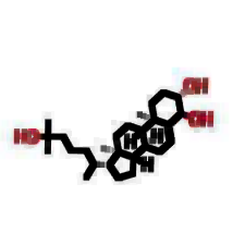 CC(CCCC(C)(C)O)[C@H]1CC[C@H]2[C@@H]3CC=C4[C@H](O)[C@@H](O)CC[C@]4(C)[C@H]3CC[C@]12C